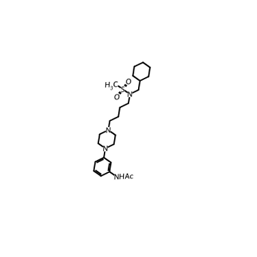 CC(=O)Nc1cccc(N2CCN(CCCCN(CC3CCCCC3)S(C)(=O)=O)CC2)c1